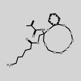 C=C(C)C(=O)NC1(COC(=O)CCCCCN)COCCOCCOCCOc2ccccc2O1